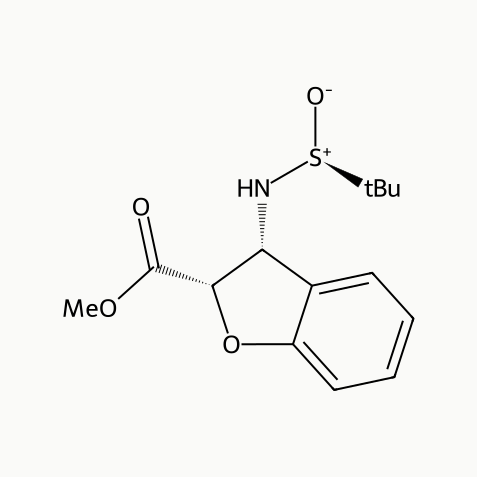 COC(=O)[C@H]1Oc2ccccc2[C@H]1N[S@@+]([O-])C(C)(C)C